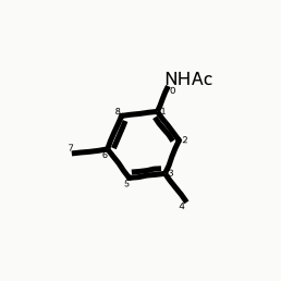 [CH2]C(=O)Nc1cc(C)cc(C)c1